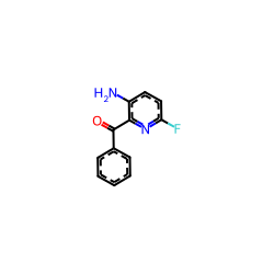 Nc1ccc(F)nc1C(=O)c1ccccc1